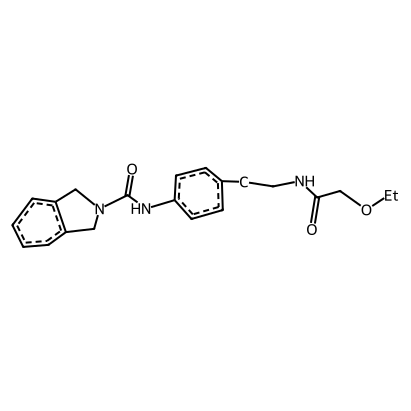 CCOCC(=O)NCCc1ccc(NC(=O)N2Cc3ccccc3C2)cc1